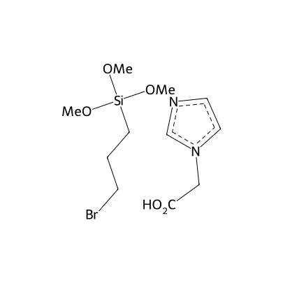 CO[Si](CCCBr)(OC)OC.O=C(O)Cn1ccnc1